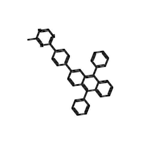 Cc1ncnc(-c2ccc(-c3ccc4c(-c5ccccc5)c5ccccc5c(-c5ccccc5)c4c3)cc2)n1